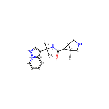 CC(C)(NC(=O)C1C2CNC[C@H]21)c1cnn2ccccc12